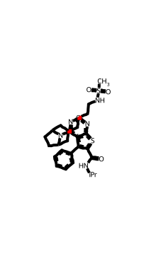 CC(C)NC(=O)c1sc2ncnc(N3C4CCC3CC(COCCNS(C)(=O)=O)C4)c2c1-c1ccccc1